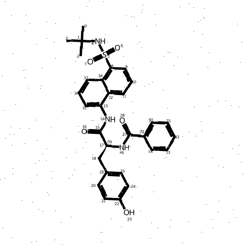 CC(C)(C)NS(=O)(=O)c1cccc2c(NC(=O)[C@H](Cc3ccc(O)cc3)NC(=O)c3ccccc3)cccc12